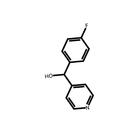 OC(c1ccncc1)c1ccc(F)cc1